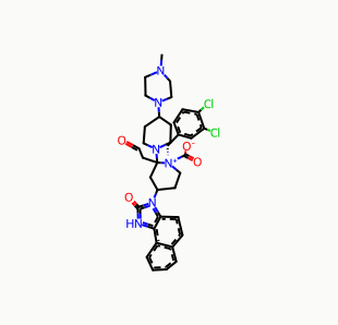 CN1CCN(C2CCN(C3(CC=O)CC(n4c(=O)[nH]c5c6ccccc6ccc54)CC[N@+]3(Cc3ccc(Cl)c(Cl)c3)C(=O)[O-])CC2)CC1